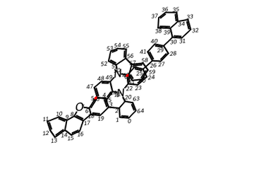 C1=CC(c2ccc3oc4c5ccccc5ccc4c3c2)C(N(c2ccc(-c3ccc(-c4cccc5ccccc45)cc3)cc2)c2ccccc2-n2c3ccccc3c3ccccc32)C=C1